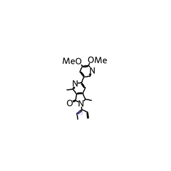 C=C/C(=C\C)N1C(=O)c2c(cc(-c3cnc(OC)c(OC)c3)nc2C)C1C